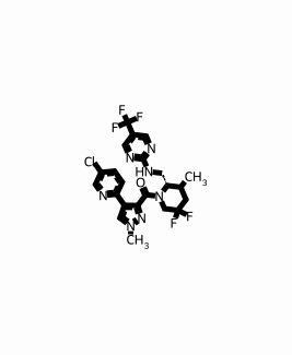 CC1CC(F)(F)CN(C(=O)c2nn(C)cc2-c2ccc(Cl)cn2)[C@@H]1CNc1ncc(C(F)(F)F)cn1